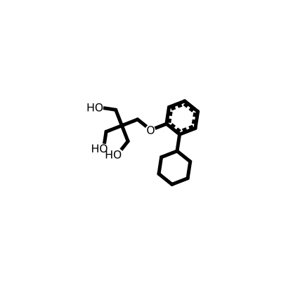 OCC(CO)(CO)COc1ccccc1C1CCCCC1